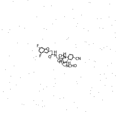 CC(C)(CNC(=O)Cc1cc2c(F)cc(F)cc2o1)[C@H]1Nc2ccc(C#N)cc2[C@@H]2[C@H]1CCN2C=O